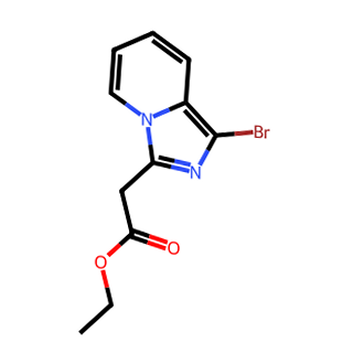 CCOC(=O)Cc1nc(Br)c2ccccn12